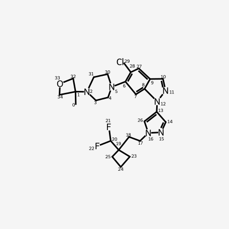 CC1(N2CCN(c3cc4c(cnn4-c4cnn(CCC5(C(F)F)CCC5)c4)cc3Cl)CC2)COC1